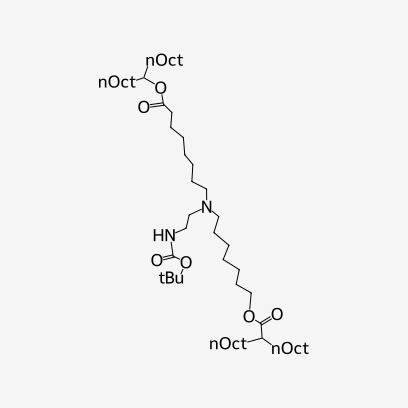 CCCCCCCCC(CCCCCCCC)OC(=O)CCCCCCCN(CCCCCCCOC(=O)C(CCCCCCCC)CCCCCCCC)CCNC(=O)OC(C)(C)C